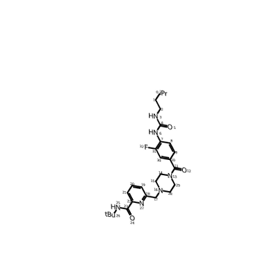 CC(C)CCNC(=O)Nc1ccc(C(=O)N2CCN(Cc3cccc(C(=O)NC(C)(C)C)n3)CC2)cc1F